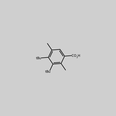 Cc1cc(C(=O)O)c(C)c(C(C)(C)C)c1C(C)(C)C